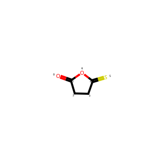 O=C1CCC(=S)O1